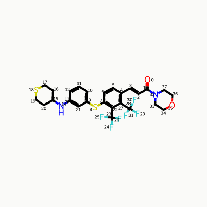 O=C(C=Cc1ccc(Sc2cccc(NC3CCSCC3)c2)c(C(F)(F)F)c1C(F)(F)F)N1CCOCC1